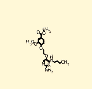 CCCCNc1nc(N)ncc1OCCOc1ccc(C(=O)OC)cc1OC